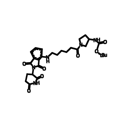 CC(C)(C)OC(=O)NC1CCN(C(=O)CCCCCNc2cccc3c2C(=O)N(C2CCC(=O)NC2=O)C3=O)C1